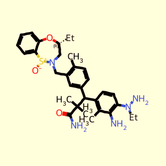 CC[C@@H]1CN(Cc2cc(C(c3ccc(N(N)CC)c(N)c3C)C(C)(C)C(N)=O)ccc2C)[S+]([O-])c2ccccc2O1